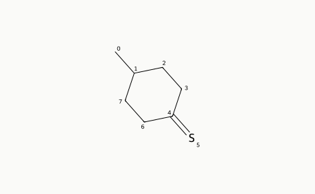 CC1CCC(=S)CC1